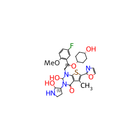 COc1ccc(F)cc1[C@H](CN1c2sc(-c3ncco3)c(C)c2C(=O)N([C@H]2CCNC2O)C1O)O[C@H]1CC[C@@H](O)CC1